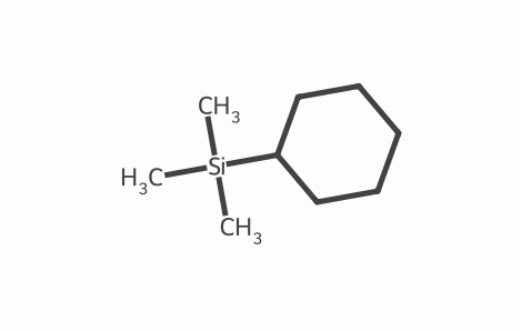 C[Si](C)(C)C1CCCCC1